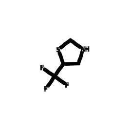 FC(F)(F)C1CN[CH]S1